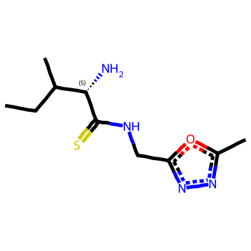 CCC(C)[C@H](N)C(=S)NCc1nnc(C)o1